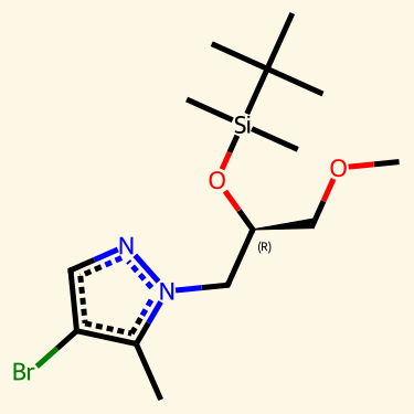 COC[C@@H](Cn1ncc(Br)c1C)O[Si](C)(C)C(C)(C)C